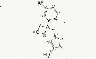 Cc1ccn(CC2(c3cccc(Br)c3)COC2)n1